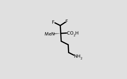 CN[C@@](CCCN)(C(=O)O)C(F)F